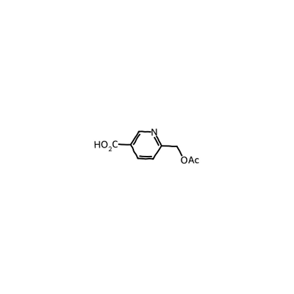 CC(=O)OCc1ccc(C(=O)O)cn1